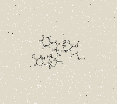 COC(=O)[C@H](CCSC)NC(=O)[C@H](Cc1ccccc1)NC[C@@H](NC(=O)[C@@H]1CCC(=O)N1)C(C)C